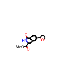 COC(=O)c1cc2cc(C3CCCO3)ccc2c(=O)[nH]1